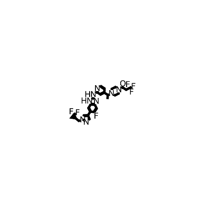 CC(c1ccnc(Nc2nc3cc(F)c(-c4cnn(CC5CC5(F)F)c4)cc3[nH]2)c1)N1CCN(C(=O)CC(F)(F)F)CC1